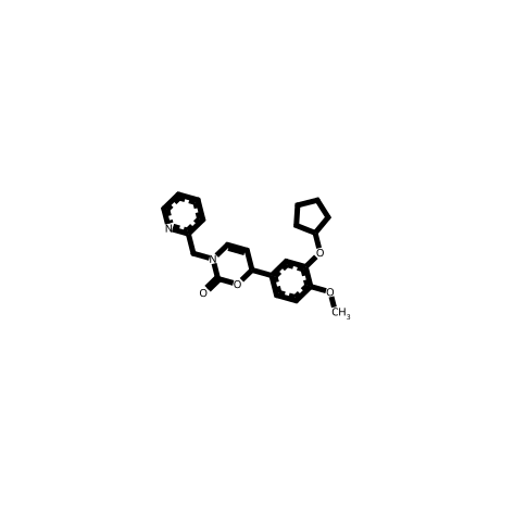 COc1ccc(C2C=CN(Cc3ccccn3)C(=O)O2)cc1OC1CCCC1